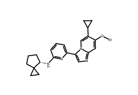 CCOc1cc2ncc(-c3cccc(N[C@H]4CCCC45CC5)n3)n2cc1C1CC1